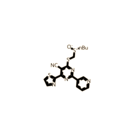 CCCC[S+]([O-])CSc1nc(-c2cccnc2)nc(-c2nccs2)c1C#N